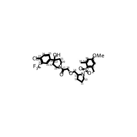 COc1cc(C)c(S(=O)(=O)N2CCCC2COCC(=O)N2CCC(O)(c3ccc(Cl)c(C(F)(F)F)c3)CC2)c(C)c1